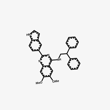 COc1cc2nc(-c3ccc4[nH]ccc4c3)nc(NCC(c3ccccc3)c3ccccc3)c2cc1OC